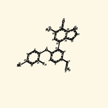 C=Nc1ccc(Oc2ccc(C#N)cc2F)c(-c2cn(C)c(=O)c3[nH]ccc23)c1